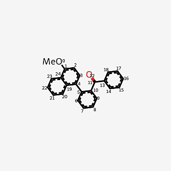 COc1ccc(-c2ccccc2C(=O)c2ccccc2)c2ccccc12